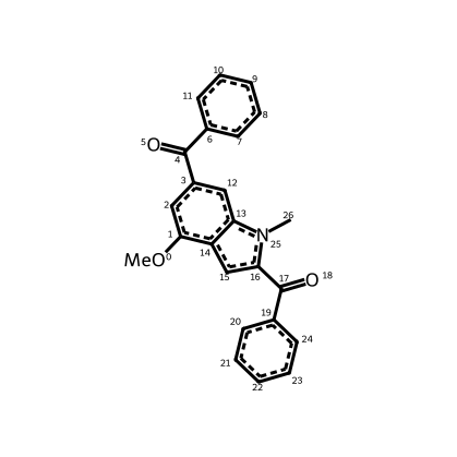 COc1cc(C(=O)c2ccccc2)cc2c1cc(C(=O)c1ccccc1)n2C